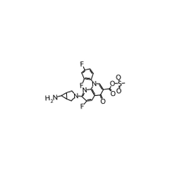 CS(=O)(=O)OC(=O)c1cn(-c2ccc(F)cc2F)c2nc(N3CC4C(N)C4C3)c(F)cc2c1=O